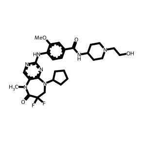 COc1cc(C(=O)NC2CCN(CCO)CC2)ccc1Nc1ncc2c(n1)N(C1CCCC1)CC(F)(F)C(=O)N2C